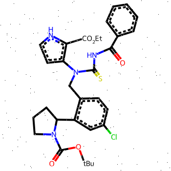 CCOC(=O)c1[nH]ccc1N(Cc1ccc(Cl)cc1C1CCCN1C(=O)OC(C)(C)C)C(=S)NC(=O)c1ccccc1